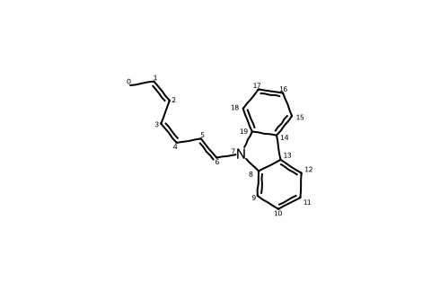 C\C=C/C=C\C=C\n1c2ccccc2c2ccccc21